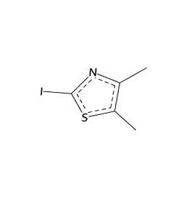 Cc1nc(I)sc1C